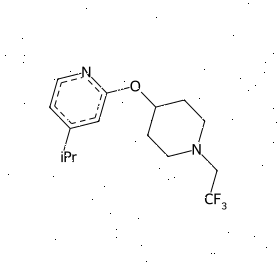 CC(C)c1ccnc(OC2CCN(CC(F)(F)F)CC2)c1